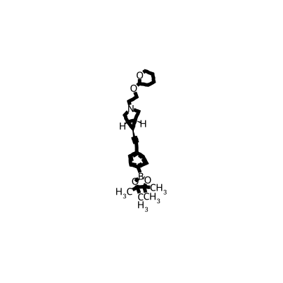 CC1(C)OB(c2ccc(C#C[C@H]3[C@H]4CN(CCOC5CCCCO5)C[C@@H]34)cc2)OC1(C)C